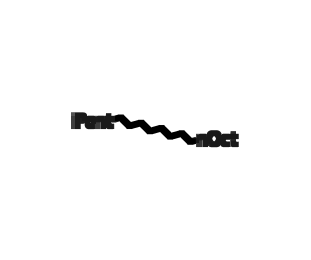 [CH2]CCC(C)CCCCCCCCCCCCCCCC